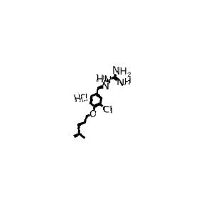 CC(C)CCCOc1ccc(C=NNC(=N)N)cc1Cl.Cl